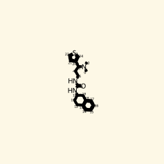 CN(C)C(CCNC(=O)NC1CCc2ccccc2C1)c1ccsc1